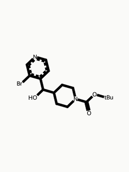 CC(C)(C)OC(=O)N1CCC(C(O)c2ccncc2Br)CC1